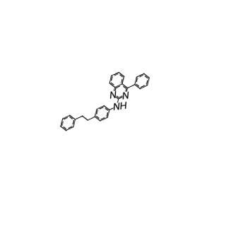 c1ccc(CCc2ccc(Nc3nc(-c4ccccc4)c4ccccc4n3)cc2)cc1